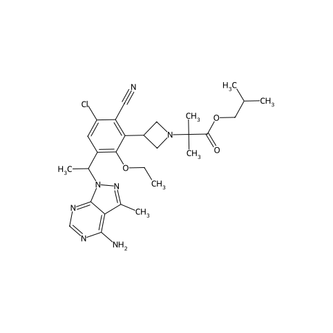 CCOc1c(C(C)n2nc(C)c3c(N)ncnc32)cc(Cl)c(C#N)c1C1CN(C(C)(C)C(=O)OCC(C)C)C1